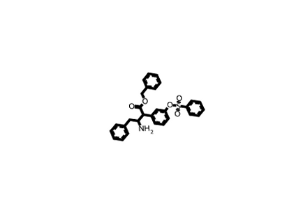 NC(Cc1ccccc1)C(C(=O)OCc1ccccc1)c1cccc(OS(=O)(=O)c2ccccc2)c1